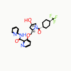 O=C(Nc1ccccn1)c1ncccc1OC[C@H]1C[C@@H](O)CN1C(=O)[C@H]1CC[C@H](C(F)(F)F)CC1